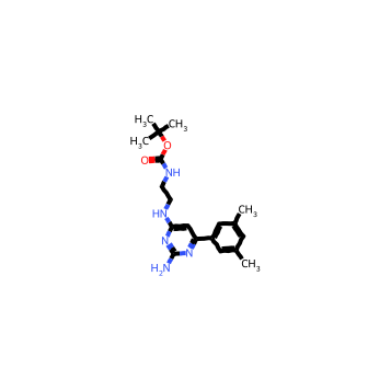 Cc1cc(C)cc(-c2cc(NCCNC(=O)OC(C)(C)C)nc(N)n2)c1